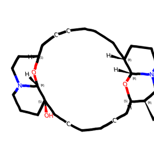 C[C@@H]1CN2CCC[C@H]3CCCCCC[C@H]4CCN5CCC[C@@](O)(CCCCCC[C@@H]1O[C@H]32)[C@H]5O4